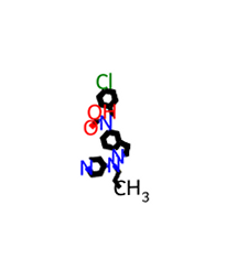 CCCN(c1ccncc1)n1ccc2cc(N(Cc3ccc(Cl)cc3)C(=O)O)ccc21